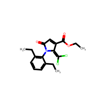 CCOC(=O)C1=CC(=O)N(c2c(CC)cccc2CC)C1=C(Cl)Cl